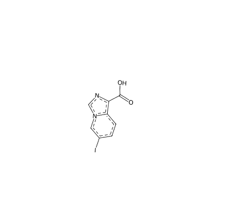 O=C(O)c1ncn2cc(I)ccc12